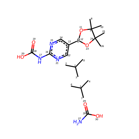 CC(C)C.CC(C)C.CC1(C)OB(c2cnc(NC(=O)O)nc2)OC1(C)C.NC(=O)O